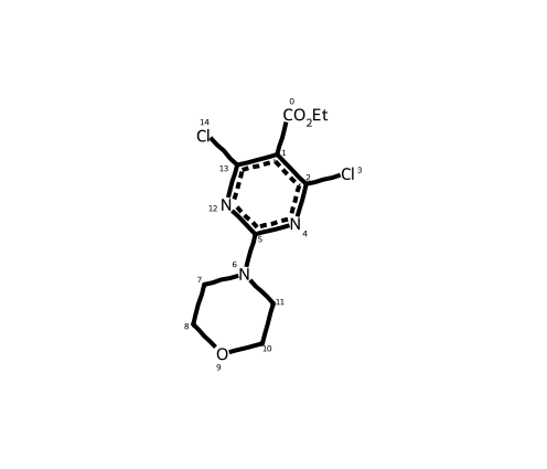 CCOC(=O)c1c(Cl)nc(N2CCOCC2)nc1Cl